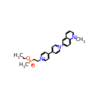 CCOP(C)(=O)CC[n+]1ccc(-c2cc[n+](-c3ccc4c(ccc[n+]4C)c3)cc2)cc1